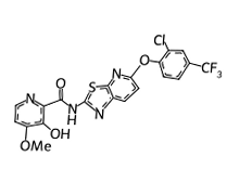 COc1ccnc(C(=O)Nc2nc3ccc(Oc4ccc(C(F)(F)F)cc4Cl)nc3s2)c1O